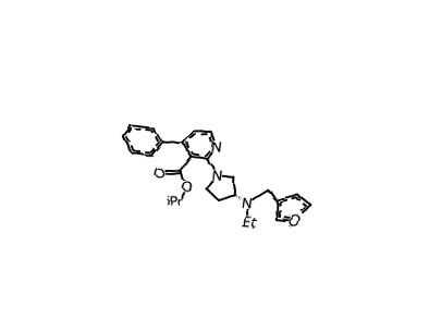 CCN(Cc1ccoc1)[C@@H]1CCN(c2nccc(-c3ccccc3)c2C(=O)OC(C)C)C1